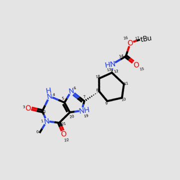 Cn1c(=O)[nH]c2nc([C@H]3CCC[C@@H](NC(=O)OC(C)(C)C)C3)[nH]c2c1=O